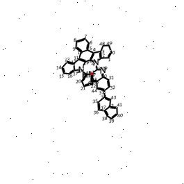 C1=Cc2c(c3c4ccccc4c4c5ccccc5n(-c5ccccc5)c4c3n2C2N=c3ccc(-c4ccc5ccccc5c4)cc3=CN2)CC1